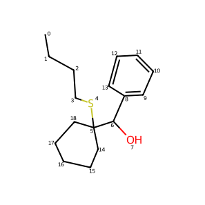 CCCCSC1(C(O)c2ccccc2)CCCCC1